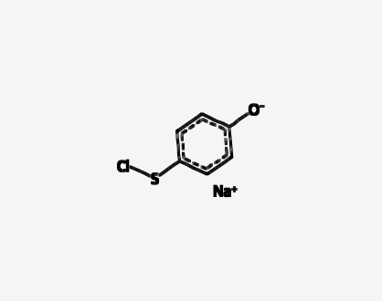 [Na+].[O-]c1ccc(SCl)cc1